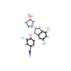 N#Cc1ccc(O[C@H]2c3cc(Cl)cc(Cl)c3C[C@H]2N2CC[C@H](O)C2)c(F)c1